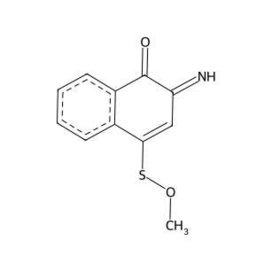 COSC1=CC(=N)C(=O)c2ccccc21